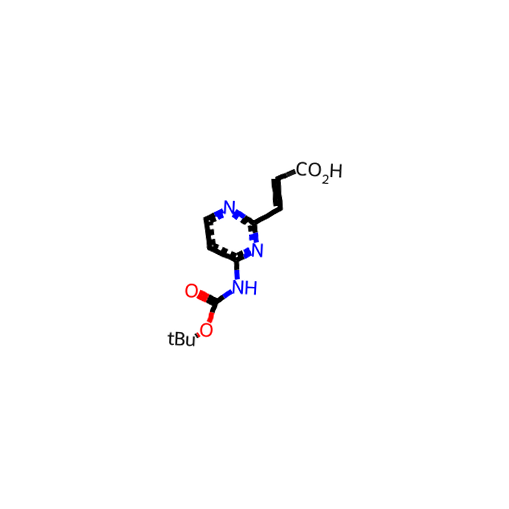 CC(C)(C)OC(=O)Nc1ccnc(/C=C/C(=O)O)n1